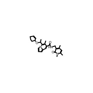 Cc1cc(C)n(C)c(=O)c1CNC(=O)c1cc2cccn2c(C(C)OC2C=CCCC2)c1C